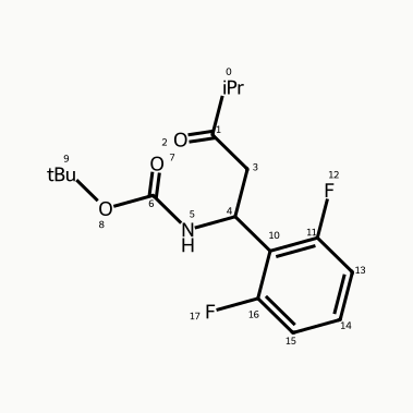 CC(C)C(=O)CC(NC(=O)OC(C)(C)C)c1c(F)cccc1F